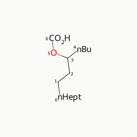 CCCCCCCCCC(CCCC)OC(=O)O